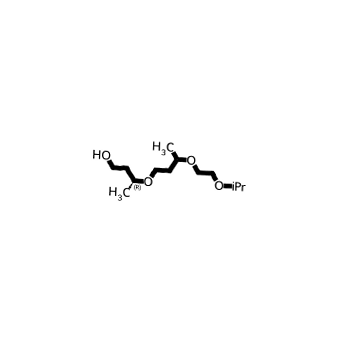 CC(C)OCCOC(C)CCO[C@H](C)CCO